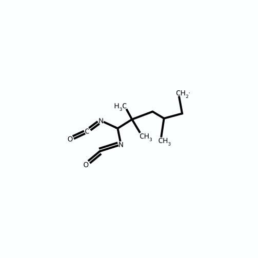 [CH2]CC(C)CC(C)(C)[C](N=C=O)N=C=O